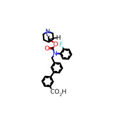 O=C(O)c1cccc(-c2cccc(CN(C(=O)O[C@H]3CN4CCC3CC4)c3ccccc3F)c2)c1